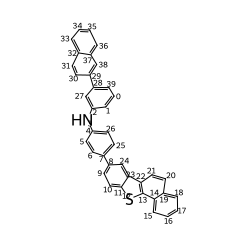 c1cc(Nc2ccc(-c3ccc4sc5c6ccccc6ccc5c4c3)cc2)cc(-c2ccc3ccccc3c2)c1